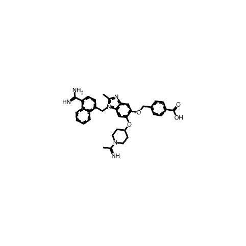 CC(=N)N1CCC(Oc2cc3c(cc2OCc2ccc(C(=O)O)cc2)nc(C)n3Cc2ccc(C(=N)N)c3ccccc23)CC1